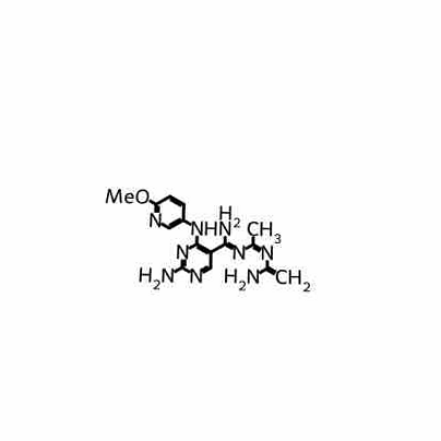 C=C(N)/N=C(C)\N=C(/N)c1cnc(N)nc1Nc1ccc(OC)nc1